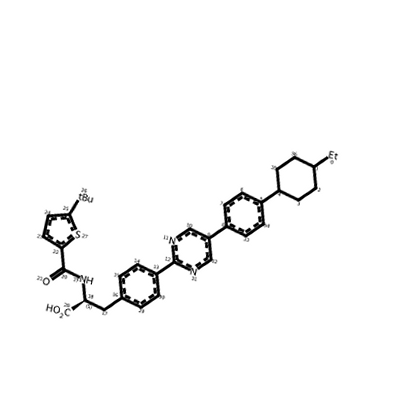 CCC1CCC(c2ccc(-c3cnc(-c4ccc(C[C@H](NC(=O)c5ccc(C(C)(C)C)s5)C(=O)O)cc4)nc3)cc2)CC1